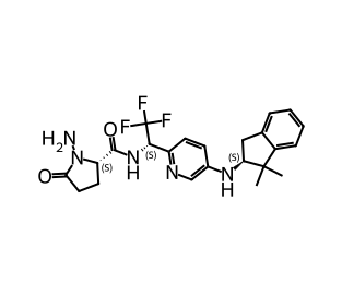 CC1(C)c2ccccc2C[C@@H]1Nc1ccc([C@H](NC(=O)[C@@H]2CCC(=O)N2N)C(F)(F)F)nc1